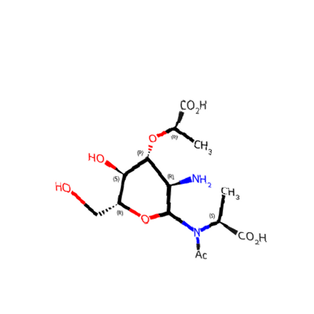 CC(=O)N(C1O[C@H](CO)[C@@H](O)[C@H](O[C@H](C)C(=O)O)[C@H]1N)[C@@H](C)C(=O)O